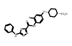 O=C(Nc1ccc(O[C@H]2CC[C@@H](C(=O)O)CC2)cc1F)c1nnc(Nc2ccccc2)o1